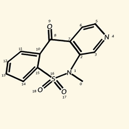 CN1c2cnccc2C(=O)c2ccccc2S1(=O)=O